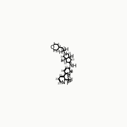 [2H]C([2H])(CC1CCOCC1)N1C[C@H]2CC(Nc3ccc(-c4cccnc4C(F)(F)F)nn3)C[C@H]2C1